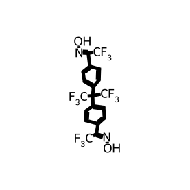 ON=C(c1ccc(C(c2ccc(C(=NO)C(F)(F)F)cc2)(C(F)(F)F)C(F)(F)F)cc1)C(F)(F)F